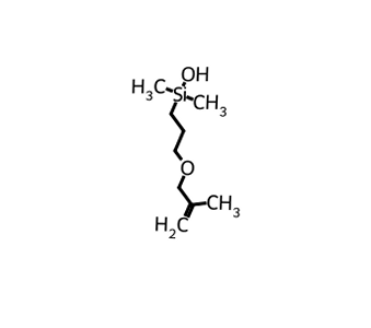 C=C(C)COCCC[Si](C)(C)O